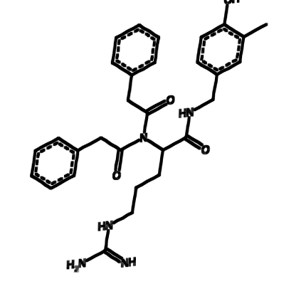 Cc1cc(CNC(=O)C(CCCNC(=N)N)N(C(=O)Cc2ccccc2)C(=O)Cc2ccccc2)ccc1O